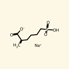 C=C(CCCCS(=O)(=O)O)C(=O)[O-].[Na+]